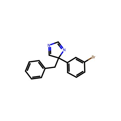 Brc1cccc(C2(Cc3ccccc3)C=NC=N2)c1